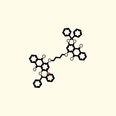 COc1cc(OCCCCOc2cc3c(c4c2C(=O)c2ccccc2C4=O)OC(c2ccccc2)(c2ccccc2)O3)c2c(c1OC(c1ccccc1)c1ccccc1)C(=O)c1ccccc1C2=O